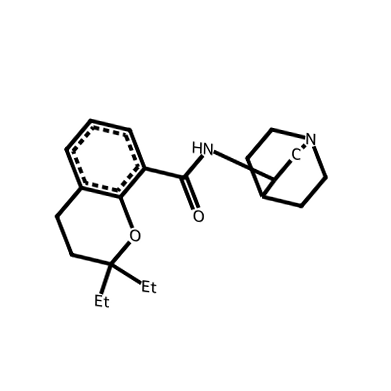 CCC1(CC)CCc2cccc(C(=O)NC3CN4CCC3CC4)c2O1